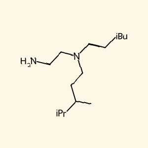 CCC(C)CCN(CCN)CCC(C)C(C)C